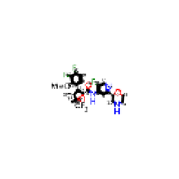 COc1c([C@H]2[C@H](C(=O)Nc3cc([C@@H]4CNCCO4)ncc3F)O[C@@](C)(C(F)(F)F)[C@H]2C)ccc(F)c1F